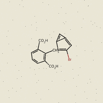 Brc1cc2cc-2c1.Cc1c(C(=O)O)cccc1C(=O)O